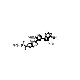 CCCCCNC(=O)N1CC(F)C(NC(=O)c2cc(-c3cc(C(F)(F)F)c4c(N)ncnn34)cnc2OC)C1